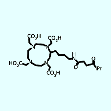 CC(C)C(=O)CCC(=O)NCCCCC1CN(CC(=O)O)CCN(CC(=O)O)CCN(CC(=O)O)CCN1CC(=O)O